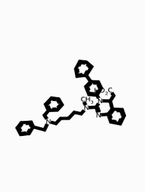 CN(CCCCCN(Cc1ccccc1)Cc1ccccc1)C1=Nc2ccccc2C(CC(=O)O)N1c1ccc(-c2ccccc2)cc1